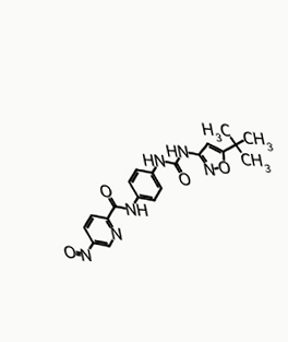 CC(C)(C)c1cc(NC(=O)Nc2ccc(NC(=O)c3ccc(N=O)cn3)cc2)no1